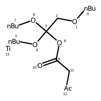 CCCCOCC(OCCCC)(OCCCC)OC(=O)CC(C)=O.[Ti]